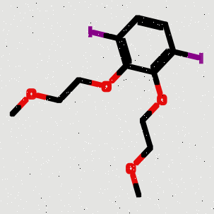 COCCOc1c(I)ccc(I)c1OCCOC